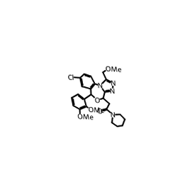 COCc1nnc2n1-c1ccc(Cl)cc1C(c1cccc(OC)c1OC)OC2CC(=O)N1CCCCC1